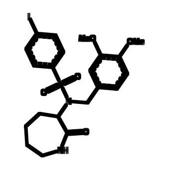 COc1ccc(CN(C2CCCCNC2=O)S(=O)(=O)c2ccc(I)cc2)cc1OC